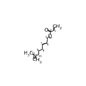 C=CC(=O)OCCCCCCN(C)C